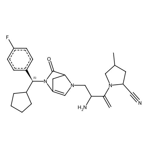 C=C(C(N)CN1C=C2CC1C(=O)N2[C@H](c1ccc(F)cc1)C1CCCC1)N1CC(C)CC1C#N